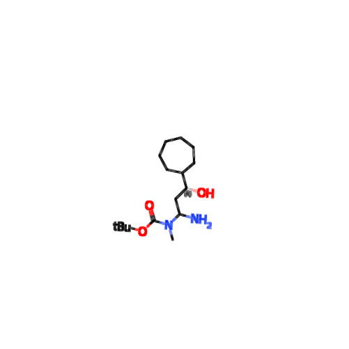 CN(C(=O)OC(C)(C)C)C(N)C[C@@H](O)C1CCCCCC1